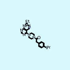 CCO/N=C\c1c(N)ncnc1N1CCN(C(=O)Cc2ccc(C(C)C)cc2)CC1